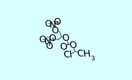 CC(Cl)OC(=O)OC(CO[N+](=O)[O-])CO[N+](=O)[O-]